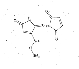 O=C1C=C([SiH2]O[SiH3])C(=O)N1.O=C1C=CC(=O)N1